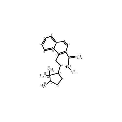 C=C(NC)c1ccc2ccccc2c1CCC1CCC(C)C1(C)C